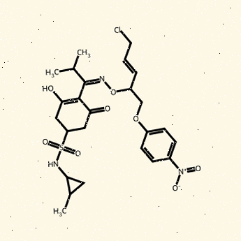 CC(C)C(=NOC(C=CCCl)COc1ccc([N+](=O)[O-])cc1)C1=C(O)CC(S(=O)(=O)NC2CC2C)CC1=O